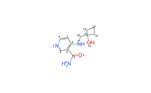 NC(=O)c1cnccc1NCC1(O)CCC1